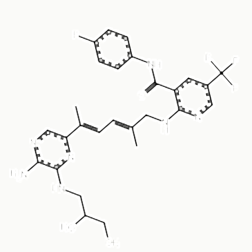 C/C(=C\C=C(/C)c1cnc(N)c(NCC(O)CO)n1)CNc1ncc(C(F)(F)F)cc1C(=O)Nc1ccc(F)cc1